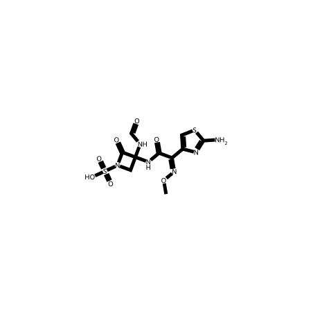 CON=C(C(=O)NC1(NC=O)CN(S(=O)(=O)O)C1=O)c1csc(N)n1